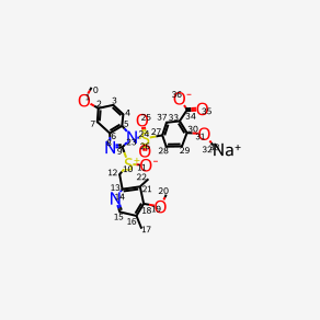 COc1ccc2c(c1)nc([S+]([O-])Cc1ncc(C)c(OC)c1C)n2S(=O)(=O)c1ccc(OC)c(C(=O)[O-])c1.[Na+]